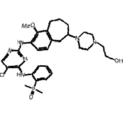 COc1c(Nc2ncc(Cl)c(Nc3ccccc3P(C)(C)=O)n2)ccc2c1CCCC(N1CCN(CCO)CC1)C2